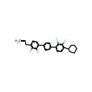 C=CCc1ccc(-c2ccc(-c3ccc(C4CCCCC4)c(F)c3F)cc2)c(F)c1F